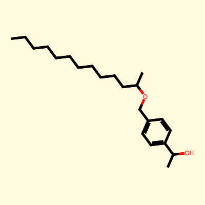 CCCCCCCCCCCC(C)OCc1ccc(C(C)O)cc1